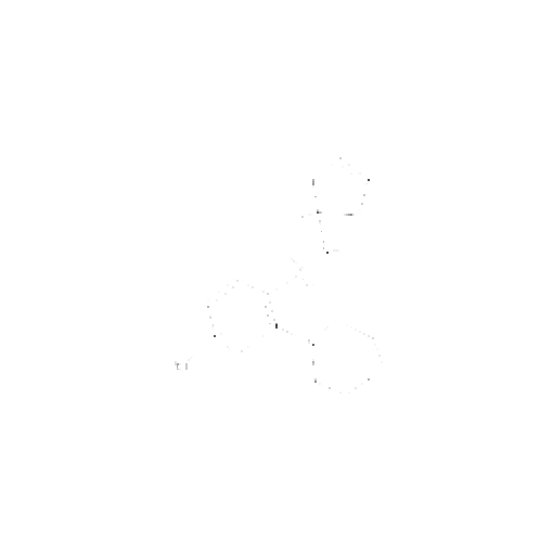 CC(C)(C)c1ccc(S(=O)(=O)NC2(C(=O)O)CC=CS2)c(N2CCOCC2)c1